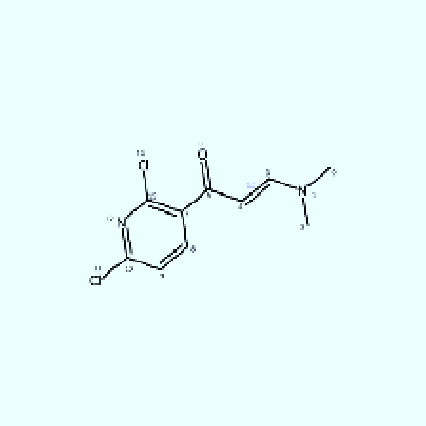 CN(C)/C=C/C(=O)c1ccc(Cl)nc1Cl